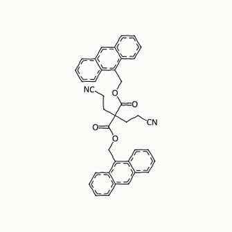 N#CCCC(CCC#N)(C(=O)OCc1c2ccccc2cc2ccccc12)C(=O)OCc1c2ccccc2cc2ccccc12